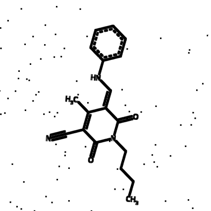 CCCCN1C(=O)C(C#N)=C(C)/C(=C\Nc2ccccc2)C1=O